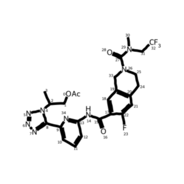 CC(=O)OCC(C)n1nnnc1-c1cccc(NC(=O)c2cc3c(cc2F)CCN(C(=O)N(C)CC(F)(F)F)C3)n1